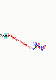 CCON(CCCNC(=O)OC1CCC1)C(=O)C1=Cc2sc(CC3CN(CCOCCOCCOCCOCCOCCOCCOCCOCCOCCOCCC(=O)Oc4c(F)c(F)c(S(=O)(=O)O)c(F)c4F)C3)cc2N=C(N)C1